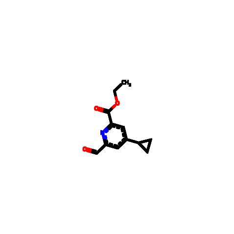 CCOC(=O)c1cc(C2CC2)cc(C=O)n1